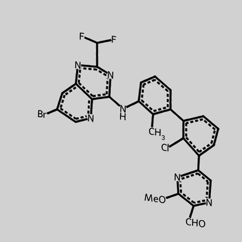 COc1nc(-c2cccc(-c3cccc(Nc4nc(C(F)F)nc5cc(Br)cnc45)c3C)c2Cl)cnc1C=O